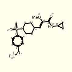 C=S(=O)(c1ccc(OC(F)(F)F)cc1)N1CCC(/C=C(\OC)C(=O)NC2CC2)CC1